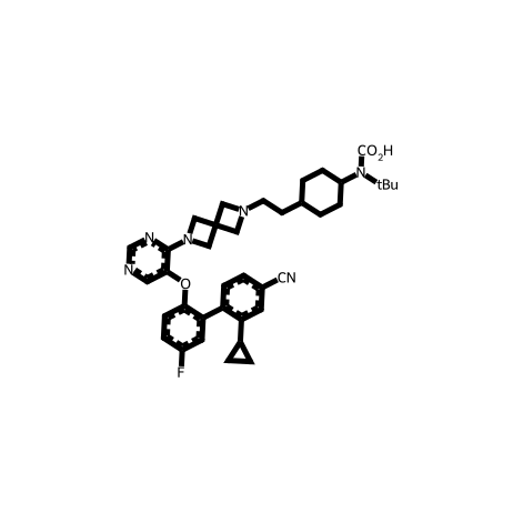 CC(C)(C)N(C(=O)O)C1CCC(CCN2CC3(C2)CN(c2ncncc2Oc2ccc(F)cc2-c2ccc(C#N)cc2C2CC2)C3)CC1